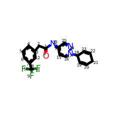 O=C(Cc1cccc(C(F)(F)F)c1)N=c1ccn(C2C=CCC=C2)nc1